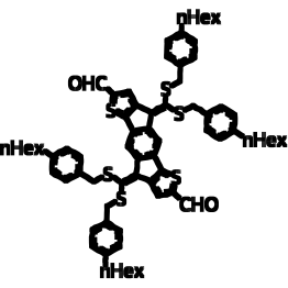 CCCCCCc1ccc(CSC(SCc2ccc(CCCCCC)cc2)=C2c3cc4c(cc3-c3sc(C=O)cc32)C(=C(SCc2ccc(CCCCCC)cc2)SCc2ccc(CCCCCC)cc2)c2cc(C=O)sc2-4)cc1